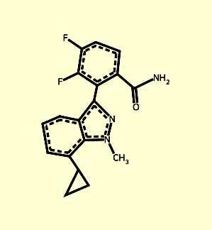 Cn1nc(-c2c(C(N)=O)ccc(F)c2F)c2cccc(C3CC3)c21